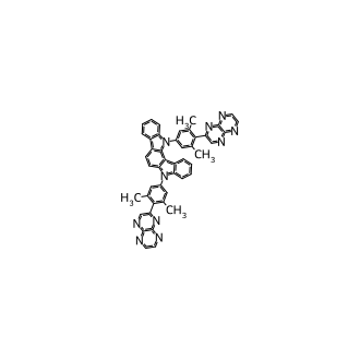 Cc1cc(-n2c3ccccc3c3c2ccc2c4ccccc4n(-c4cc(C)c(-c5cnc6nccnc6n5)c(C)c4)c23)cc(C)c1-c1cnc2nccnc2n1